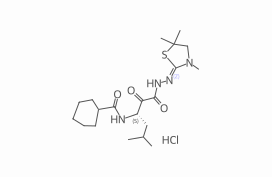 CC(C)C[C@H](NC(=O)C1CCCCC1)C(=O)C(=O)N/N=C1\SC(C)(C)CN1C.Cl